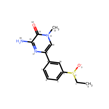 CC[S+]([O-])c1cccc(-c2cn(C)c(=O)c(N)n2)c1